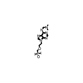 CN(C)/C=N\c1ncnc2c1ncn2CCOCP(=O)(I)I